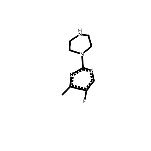 Cc1nc(N2CCNCC2)ncc1F